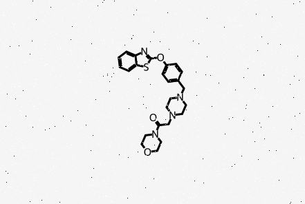 O=C(CN1CCN(Cc2ccc(Oc3nc4ccccc4s3)cc2)CC1)N1CCOCC1